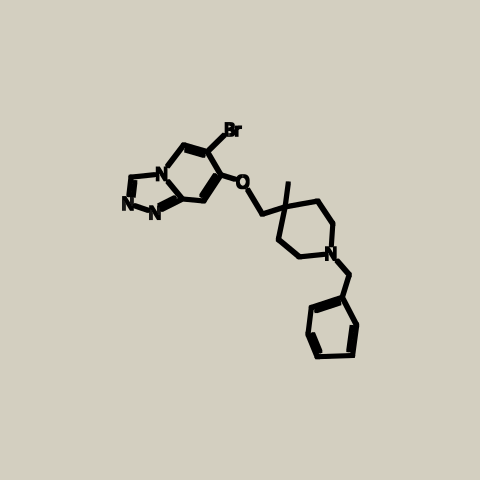 CC1(COc2cc3nncn3cc2Br)CCN(Cc2ccccc2)CC1